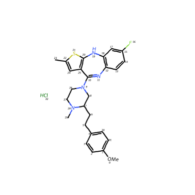 COc1ccc(CCC2CN(C3=Nc4ccc(F)cc4Nc4sc(C)cc43)CCN2C)cc1.Cl